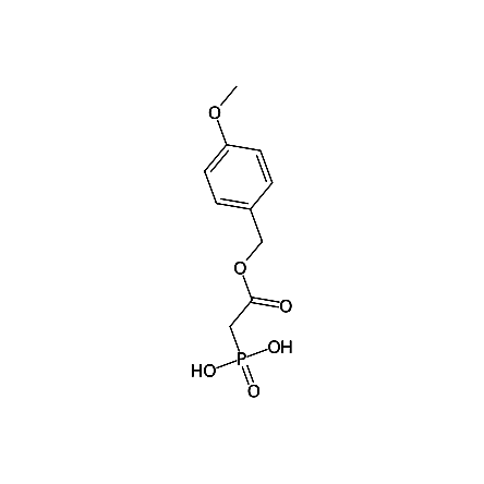 COc1ccc(COC(=O)CP(=O)(O)O)cc1